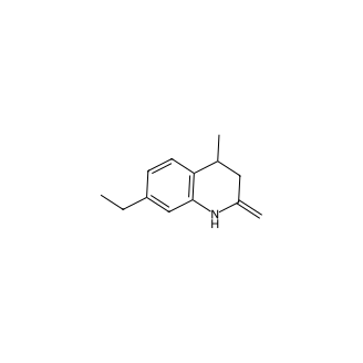 C=C1CC(C)c2ccc(CC)cc2N1